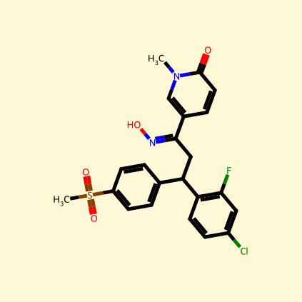 Cn1cc(C(CC(c2ccc(S(C)(=O)=O)cc2)c2ccc(Cl)cc2F)=NO)ccc1=O